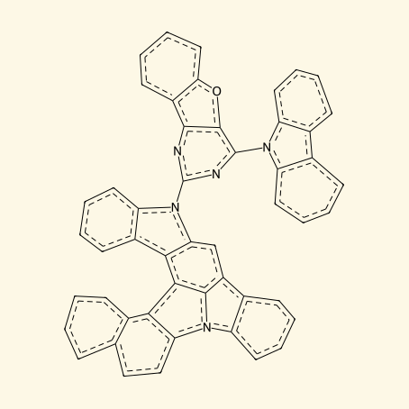 c1ccc2c(c1)ccc1c2c2c3c4ccccc4n(-c4nc(-n5c6ccccc6c6ccccc65)c5oc6ccccc6c5n4)c3cc3c4ccccc4n1c32